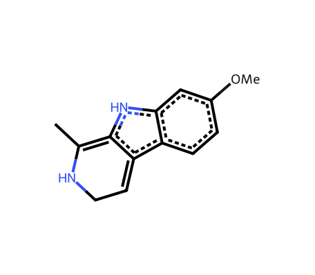 COc1ccc2c3c([nH]c2c1)=C(C)NCC=3